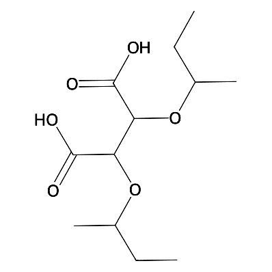 CCC(C)OC(C(=O)O)C(OC(C)CC)C(=O)O